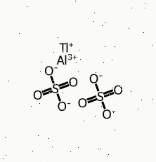 O=S(=O)([O-])[O-].O=S(=O)([O-])[O-].[Al+3].[Tl+]